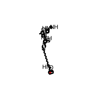 COc1cc(N2CCN(CCCCCCCCCCCCNC(=O)CC34CC5CC(CC(C5)C3)C4)CC2)ccc1Nc1ncc2c(n1)N(c1cccc(NC3CNC3)c1)C(O)C=C2C